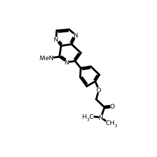 CNc1nc(-c2ccc(OCC(=O)N(C)C)cc2)cc2nccnc12